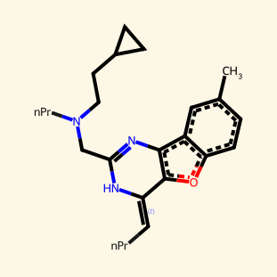 CCC/C=C1\NC(CN(CCC)CCC2CC2)=Nc2c1oc1ccc(C)cc21